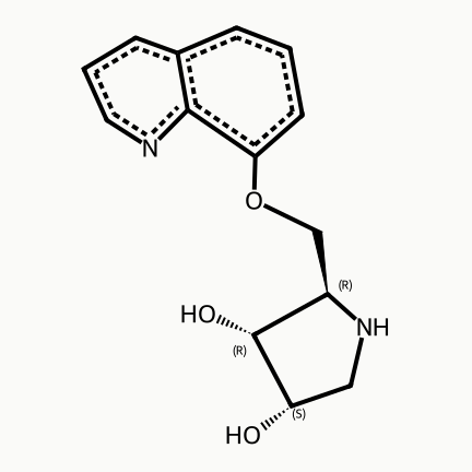 O[C@H]1[C@@H](O)CN[C@@H]1COc1cccc2cccnc12